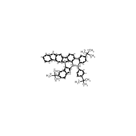 CC(C)(C)c1ccc(Nc2ccc(C(C)(C)C)cc2-c2ccc3c4cc5sc6ccccc6c5cc4n4c3c2Bc2sc3ccc(C(C)(C)C)cc3c2-4)cc1